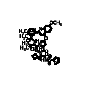 COc1ccc2c(O[C@@H]3C[C@@H](C(=O)NC4(C(=O)NS(=O)(=O)c5cccs5)CC45CCC5)N(C(=O)[C@@H](NC(=O)OC(C)(C)C)C(C)(C)C)C3)cc(-c3ccccc3)nc2c1